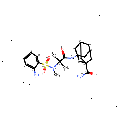 CN(C(C)(C)C(=O)NC12CC3CC(C1)CC(C(N)=O)(C3)C2)S(=O)(=O)c1ccccc1N